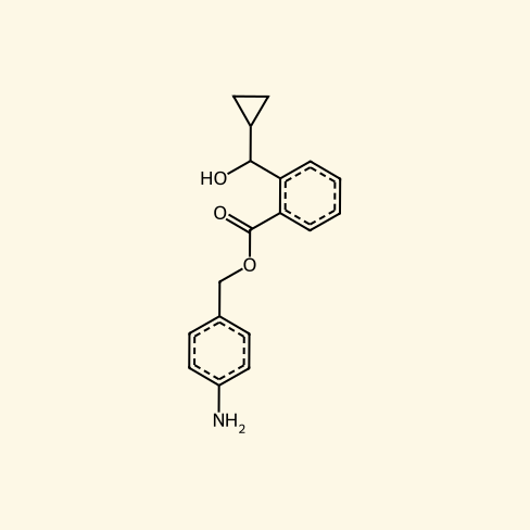 Nc1ccc(COC(=O)c2ccccc2C(O)C2CC2)cc1